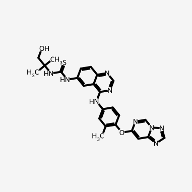 Cc1cc(Nc2ncnc3ccc(NC(=S)NC(C)(C)CO)cc23)ccc1Oc1cc2ncnn2cn1